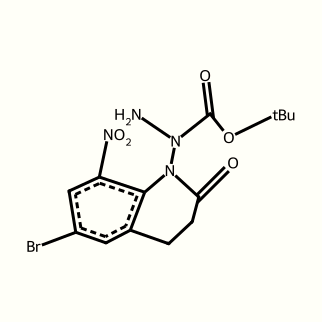 CC(C)(C)OC(=O)N(N)N1C(=O)CCc2cc(Br)cc([N+](=O)[O-])c21